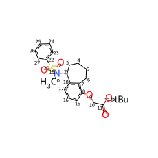 CN(C1CCCCc2c(OCC(=O)OC(C)(C)C)cccc21)S(=O)(=O)c1ccccc1